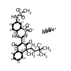 CC(C)(C)CCC1(C)C(=O)C(C2=NS([O-])([O-])c3cc(NS(C)(=O)=O)ccc3N2)=C([O-])c2ccccc21.[Na+].[Na+].[Na+]